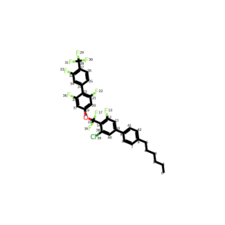 CCCCCCc1ccc(-c2cc(F)c(C(F)(F)Oc3cc(F)c(-c4ccc(C(F)(F)F)c(F)c4)c(F)c3)c(Cl)c2)cc1